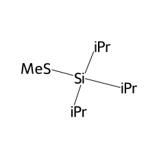 [CH2]S[Si](C(C)C)(C(C)C)C(C)C